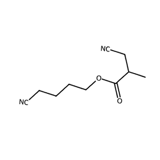 CC(CC#N)C(=O)OCCCCC#N